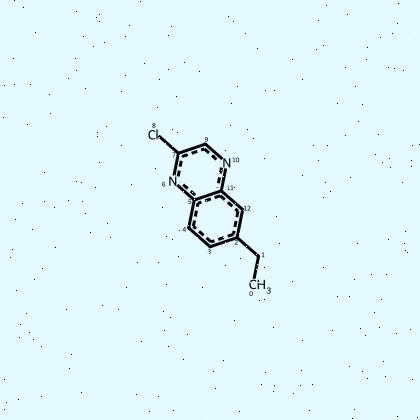 CCc1ccc2nc(Cl)cnc2c1